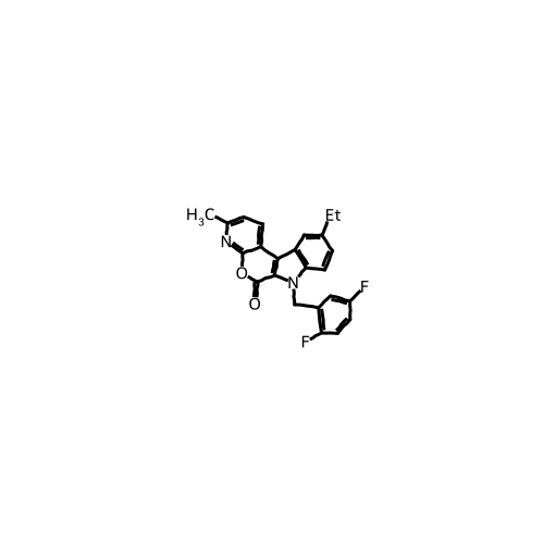 CCc1ccc2c(c1)c1c3ccc(C)nc3oc(=O)c1n2Cc1cc(F)ccc1F